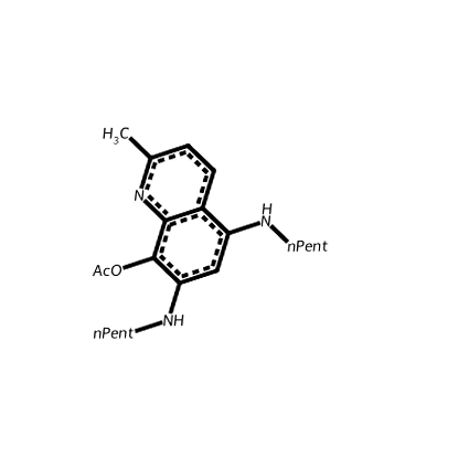 CCCCCNc1cc(NCCCCC)c2ccc(C)nc2c1OC(C)=O